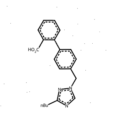 CCCCc1ncn(Cc2ccc(-c3ccccc3C(=O)O)cc2)n1